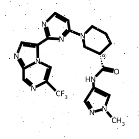 Cn1cc(NC(=O)[C@H]2CCCN(c3ccnc(-c4cnc5cnc(C(F)(F)F)cn45)n3)C2)cn1